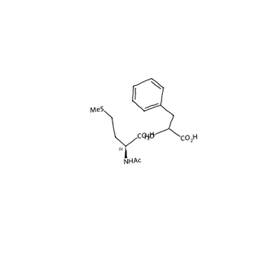 CSCC[C@H](NC(C)=O)C(=O)O.O=C(O)C(O)Cc1ccccc1